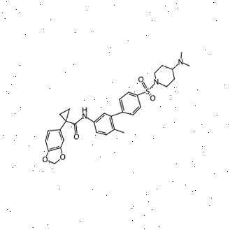 Cc1ccc(NC(=O)C2(c3ccc4c(c3)OCO4)CC2)cc1-c1ccc(S(=O)(=O)N2CCC(N(C)C)CC2)cc1